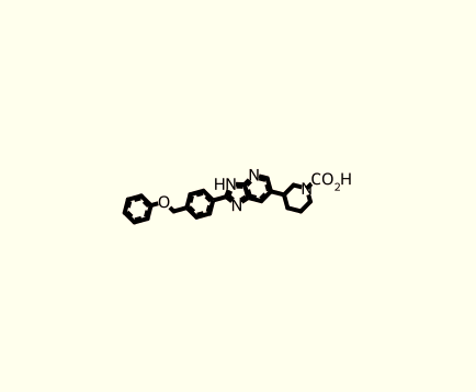 O=C(O)N1CCCC(c2cnc3[nH]c(-c4ccc(COc5ccccc5)cc4)nc3c2)C1